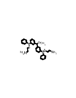 COC(c1cccc(B(SCCN)c2ccccc2)c1)c1cccc(B(SCCN)c2ccccc2)c1